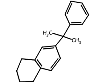 CC(C)(c1ccccc1)c1ccc2c(c1)CCCC2